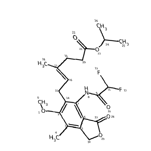 COc1c(C)c2c(c(NC(=O)C(F)F)c1C/C=C(\C)CCC(=O)OC(C)C)C(=O)OC2